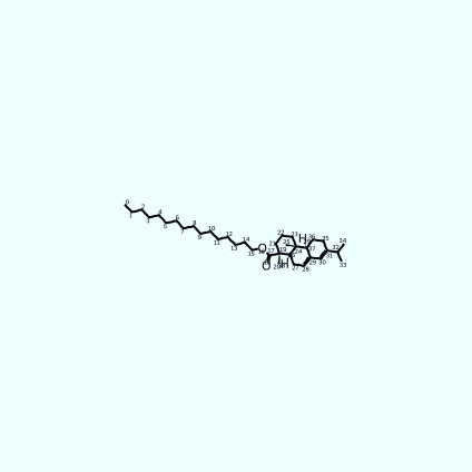 CCCCCCCCCCCCCCCCOC(=O)[C@]1(C)CCC[C@@]2(C)[C@H]1CC=C1C=C(C(C)C)CC[C@@H]12